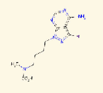 CN(CCCCn1nc(I)c2c(N)ncnc21)C(=O)O